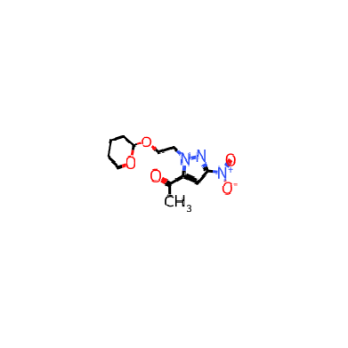 CC(=O)c1cc([N+](=O)[O-])nn1CCOC1CCCCO1